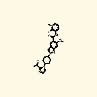 COc1cc2nn(C3CCC(n4ccnc4C(C)=O)CC3)cc2cc1C(=O)Nc1cccn(C)c1=O